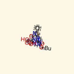 CCCCOC(=O)N1CCN(C(=O)[C@H](CP(=O)(O)O)NC(=O)c2nc(-c3ccccc3)sc2N2CCN(C)CC2)CC1